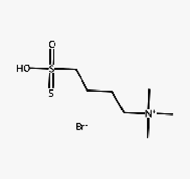 C[N+](C)(C)CCCCS(=O)(O)=S.[Br-]